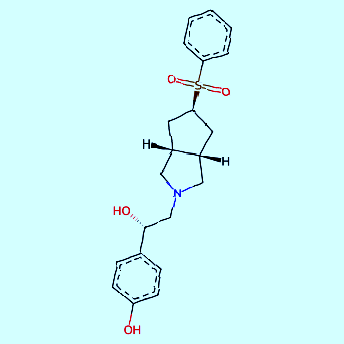 O=S(=O)(c1ccccc1)[C@H]1C[C@@H]2CN(C[C@@H](O)c3ccc(O)cc3)C[C@@H]2C1